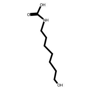 O=C(O)NCCCCCCCO